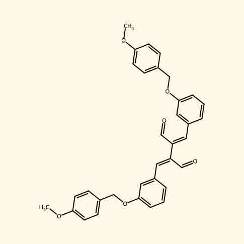 COc1ccc(COc2cccc(/C=C(C=O)/C(C=O)=C/c3cccc(OCc4ccc(OC)cc4)c3)c2)cc1